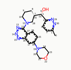 Cc1ccc([C@@H](O)[C@H]2CCCN(c3nnnc4cc(N5CCOCC5)ccc34)C2)nn1